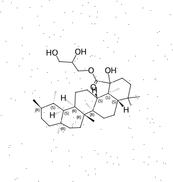 C[C@@H]1[C@H]2[C@H]3CC[C@@H]4[C@]5(C)[C@@H](CC[C@@]4(C)[C@]3(C)CC[C@@]2(C)CC[C@H]1C)C(C)(C)CCC5(O)C(=O)OCC(O)CO